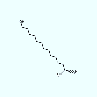 N[C@@H](CSCCCCCCCCCCO)C(=O)O